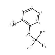 Nc1ccncc1OC(F)(F)F